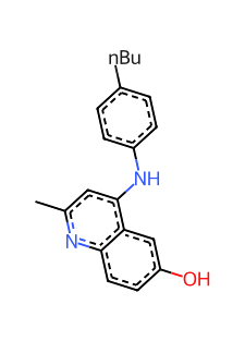 CCCCc1ccc(Nc2cc(C)nc3ccc(O)cc23)cc1